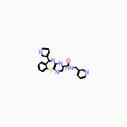 O=C(NCc1cccnc1)c1cnc2c(n1)N=C(c1cccnc1)c1ccccc1S2